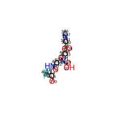 COc1ccc(CC(=O)Nc2ccc(C(=O)N(CC(=O)O)Cc3ccc(OC(=O)c4ccc(N5CCCC5)cc4)cc3)cc2)c(C(F)(F)F)c1